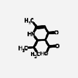 CC1=CC(=O)C(C(=O)O)C(C(C)C)N1